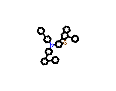 c1ccc(-c2ccc(N(c3ccc(-c4ccccc4-c4ccccc4)cc3)c3ccc4sc5c(-c6ccccc6)c6ccccc6cc5c4c3)cc2)cc1